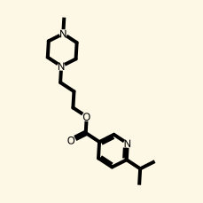 CC(C)c1ccc(C(=O)OCCCN2CCN(C)CC2)cn1